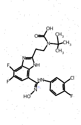 CC(C)(C)N(CCc1nc2c(F)c(F)cc(/C(=N\O)Nc3ccc(F)c(Cl)c3)c2[nH]1)C(=O)O